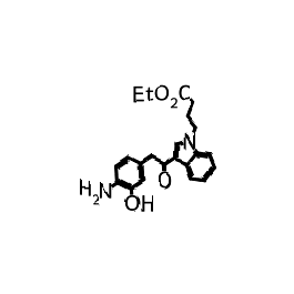 CCOC(=O)CCCn1cc(C(=O)Cc2ccc(N)c(O)c2)c2ccccc21